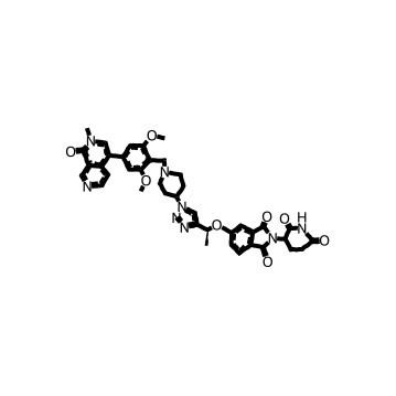 COc1cc(-c2cn(C)c(=O)c3cnccc23)cc(OC)c1CN1CCC(n2cc([C@H](C)Oc3ccc4c(c3)C(=O)N(C3CCC(=O)NC3=O)C4=O)nn2)CC1